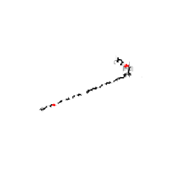 COCCOCCOCCOCCOCCOCCOCCOCCOCCOCCOCCOCCC(=O)NC(C)C(=O)NC(C)C(=O)NC(CC(N)=O)C(=O)O